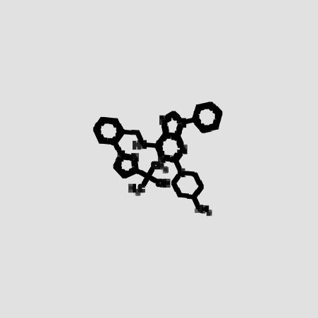 CC(C)(O)c1ccn(-c2ccccc2CNc2nc(N3CCC(N)CC3)nc3c2ncn3-c2ccccc2)n1